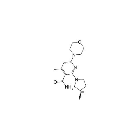 Cc1cc(N2CCOCC2)nc(N2CC[C@@H](F)C2)c1C(N)=O